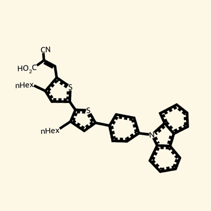 CCCCCCc1cc(-c2sc(-c3ccc(-n4c5ccccc5c5ccccc54)cc3)cc2CCCCCC)sc1/C=C(/C#N)C(=O)O